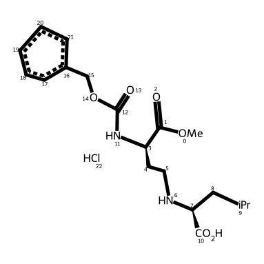 COC(=O)[C@@H](CCN[C@@H](CC(C)C)C(=O)O)NC(=O)OCc1ccccc1.Cl